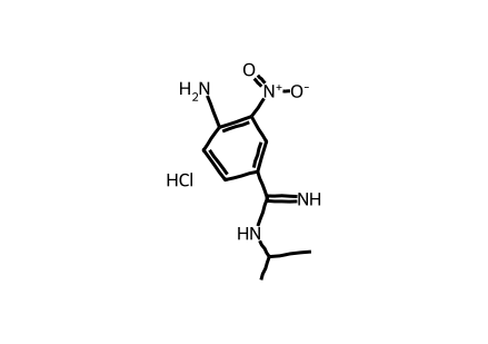 CC(C)NC(=N)c1ccc(N)c([N+](=O)[O-])c1.Cl